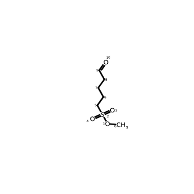 COS(=O)(=O)CCCCC=O